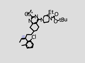 C/C=C(/CCC1CCc2c(nc([S+](C)[O-])nc2N2CCN(C(=O)OC(C)(C)C)[C@@H](CC)C2)C1)c1c(C)cccc1Cl